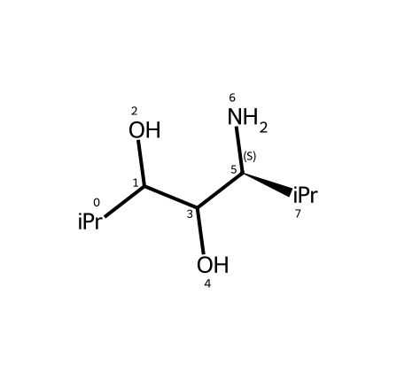 CC(C)C(O)C(O)[C@@H](N)C(C)C